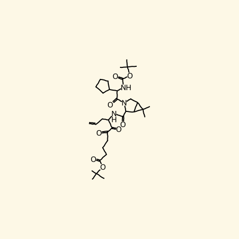 C=CCC(NC(=O)C1C2C(CN1C(=O)C(NC(=O)OC(C)(C)C)C1CCCC1)C2(C)C)C(=O)C(=O)CCCC(=O)OC(C)(C)C